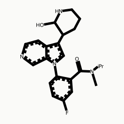 CC(C)N(C)C(=O)c1cc(F)ccc1-n1cc(C2CCCNC2O)c2ccncc21